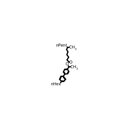 CCCCCCc1ccc(-c2ccc(C(C)OC(=O)CCCCCC(C)CCCCC)cc2)cc1